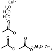 CC(=O)[O-].CC(=O)[O-].CC(=O)[O-].O.O.O.O.O.O.[Ce+3]